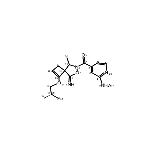 CC(=O)Nc1cc(C(=O)N2OC(=N)C3(CC=C3OC[C@@H](C)F)C2C)ccn1